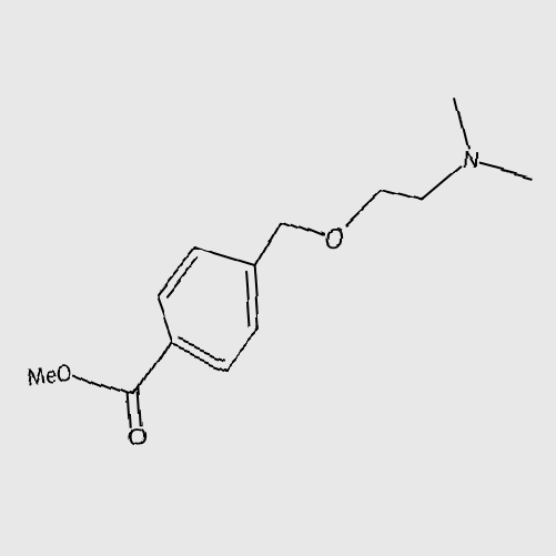 COC(=O)c1ccc(COCCN(C)C)cc1